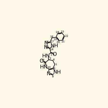 O=C(NC1CCc2[nH]cnc2NC1=O)c1nnc(Cc2ccccc2)[nH]1